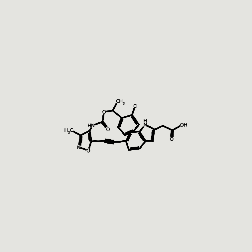 Cc1noc(C#Cc2ccc3cc(CC(=O)O)[nH]c3c2)c1NC(=O)OC(C)c1ccccc1Cl